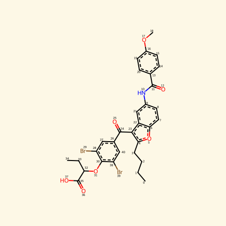 CCCCc1oc2ccc(NC(=O)c3ccc(OC)cc3)cc2c1C(=O)c1cc(Br)c(OC(CC)C(=O)O)c(Br)c1